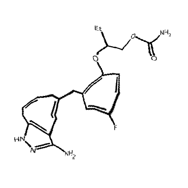 CCC(COC(N)=O)Oc1ccc(F)cc1Cc1ccc2[nH]nc(N)c2c1